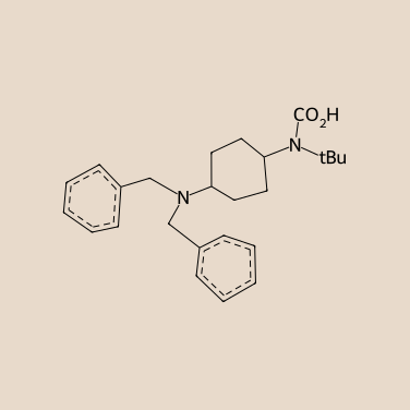 CC(C)(C)N(C(=O)O)C1CCC(N(Cc2ccccc2)Cc2ccccc2)CC1